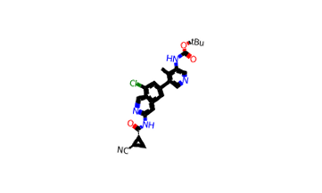 Cc1c(NC(=O)OC(C)(C)C)cncc1-c1cc(Cl)c2cnc(NC(=O)[C@@H]3C[C@H]3C#N)cc2c1